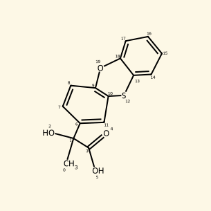 CC(O)(C(=O)O)c1ccc2c(c1)Sc1ccccc1O2